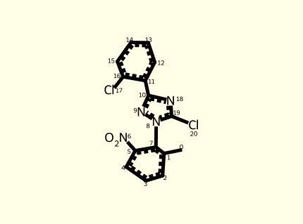 Cc1cccc([N+](=O)[O-])c1-n1nc(-c2ccccc2Cl)nc1Cl